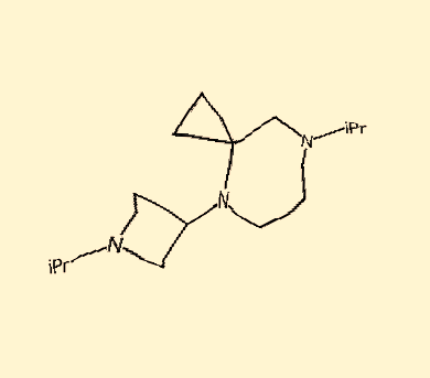 CC(C)N1CC(N2CCN(C(C)C)CC23CC3)C1